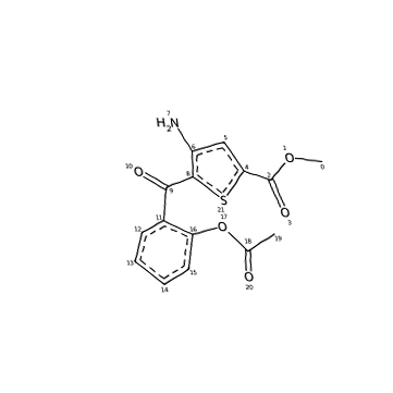 COC(=O)c1cc(N)c(C(=O)c2ccccc2OC(C)=O)s1